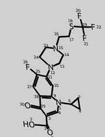 O=C(O)c1cn(C2CC2)c2cc(N3CCN(CCSC(F)(F)F)CC3)c(F)cc2c1=O